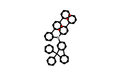 c1ccc(-c2ccc(-c3ccccc3N(c3ccc(-c4ccccc4)cc3)c3ccc4c(c3)C(c3ccccc3)(c3ccccc3)c3ccccc3-4)cc2)cc1